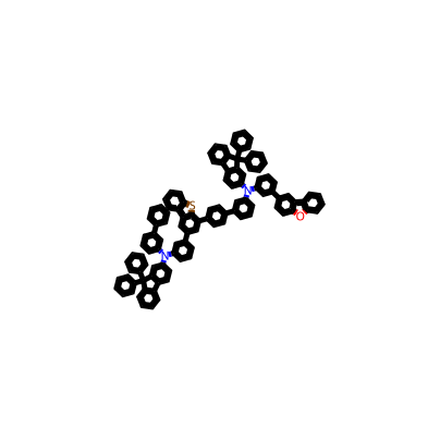 c1ccc(-c2cccc(N(c3cccc(-c4cc(-c5ccc(-c6cccc(N(c7cccc(-c8ccc9oc%10ccccc%10c9c8)c7)c7ccc8c(c7)C(c7ccccc7)(c7ccccc7)c7ccccc7-8)c6)cc5)c5sc6ccccc6c5c4)c3)c3ccc4c(c3)C(c3ccccc3)(c3ccccc3)c3ccccc3-4)c2)cc1